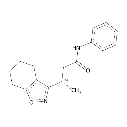 C[C@@H](CC(=O)Nc1ccccc1)c1noc2c1CCCC2